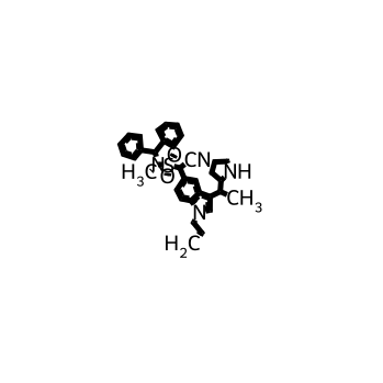 C=CCn1cc(C(C)C2CCCN2)c2cc(C(C#N)S(=O)(=O)N(C)C(c3ccccc3)c3ccccc3)ccc21